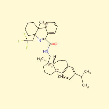 CC(C)c1ccc2c(c1)CC[C@H]1[C@](C)(CNC(=O)C3=NC4(CC(F)(F)F)CCCCC4(C)c4ccccc43)CCC[C@]21C